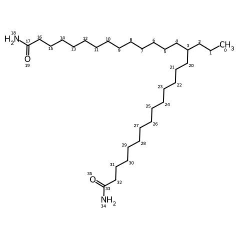 CCCC(CCCCCCCCCCCCCC(N)=O)CCCCCCCCCCCCCC(N)=O